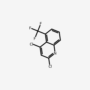 FC(F)(F)c1cccc2nc(Cl)cc(Cl)c12